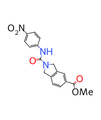 COC(=O)c1ccc2c(c1)CN(C(=O)Nc1ccc([N+](=O)[O-])cc1)C2